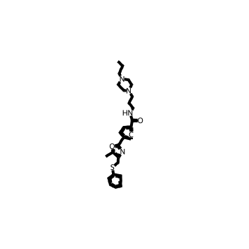 CCCN1CCN(CCCNC(=O)c2ccc(-c3nc(CSc4ccccc4)c(C)o3)cc2)CC1